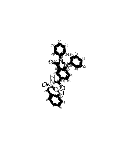 O=C(NS(=O)(=O)Cc1ccccc1Cl)c1ccc2c(c1)c(=O)n(-c1ccccc1)n2-c1ccccc1